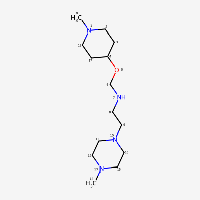 CN1CCC(OCNCCN2CCN(C)CC2)CC1